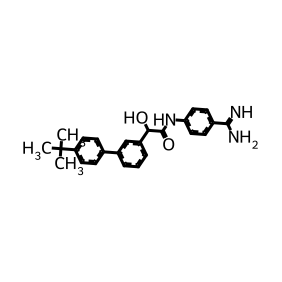 CC(C)(C)c1ccc(-c2cccc(C(O)C(=O)Nc3ccc(C(=N)N)cc3)c2)cc1